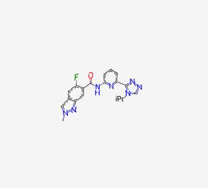 CC(C)n1cnnc1-c1cccc(NC(=O)c2cc3nn(C)cc3cc2F)n1